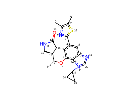 Cc1nc(-c2cc(O[C@H](C)[C@H]3CNC(=O)C3)c3c(c2)ncn3C2CC2)sc1C